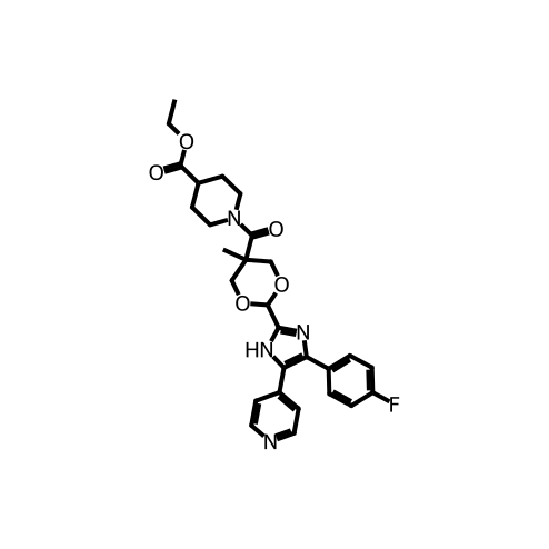 CCOC(=O)C1CCN(C(=O)C2(C)COC(c3nc(-c4ccc(F)cc4)c(-c4ccncc4)[nH]3)OC2)CC1